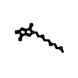 COCCOCCOCCN1C=C2C(=O)NC=C2C1=O